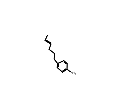 C/C=C/CCCc1ccc(N)cc1